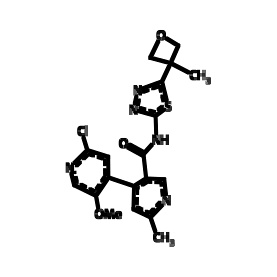 COc1cnc(Cl)cc1-c1cc(C)ncc1C(=O)Nc1nnc(C2(C)COC2)s1